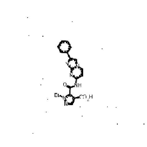 CCn1ncc(C(=O)O)c1C(=O)Nc1ccn2cc(-c3ccccc3)nc2n1